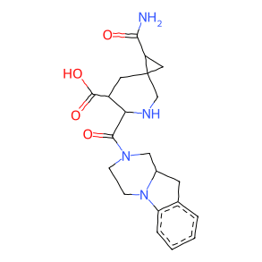 NC(=O)C1CC12CNC(C(=O)N1CCN3c4ccccc4CC3C1)C(C(=O)O)C2